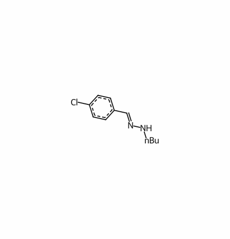 CCCCNN=Cc1ccc(Cl)cc1